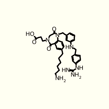 N=C(N)Nc1ccc(CNc2cccc(CN3C(=O)CN(CCC(=O)O)C(=O)c4cc(CCCCCCN)ccc43)c2)cc1